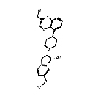 COc1ccc2c(c1)[C@@H](O)[C@H](N1CCN(c3cccc4c3OCC(CO)O4)CC1)C2